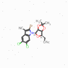 CC(=O)OC[C@H]1O[C@@H](n2c(Br)c(C#N)c3cc(Cl)c(Cl)cc32)C2OC(C)(C)OC21